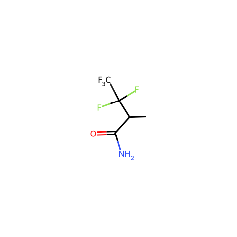 CC(C(N)=O)C(F)(F)C(F)(F)F